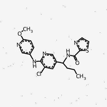 CCCC(NC(=O)c1nccs1)c1cnc(Nc2ccc(OC)nc2)c(Cl)c1